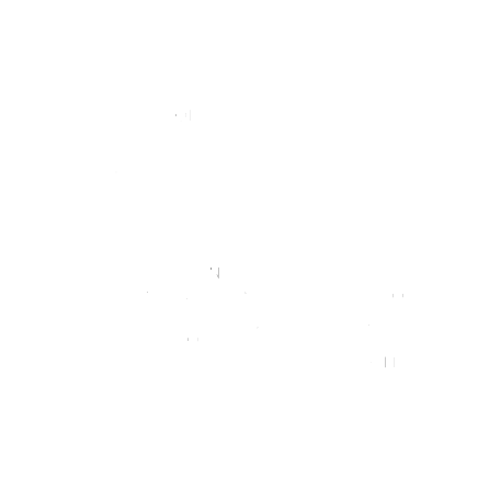 C=CCc1cc2c(c(CC=C)c1O)CCC(=O)N2c1ccc(C(=O)O)c(C)c1